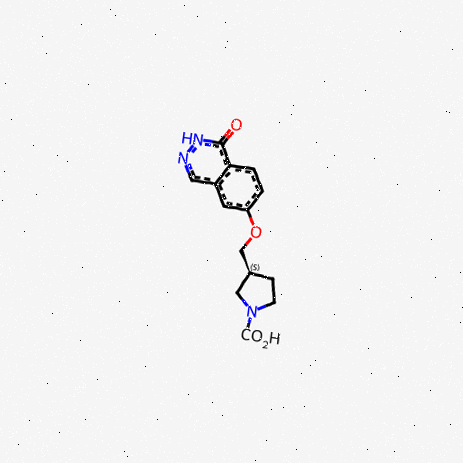 O=C(O)N1CC[C@H](COc2ccc3c(=O)[nH]ncc3c2)C1